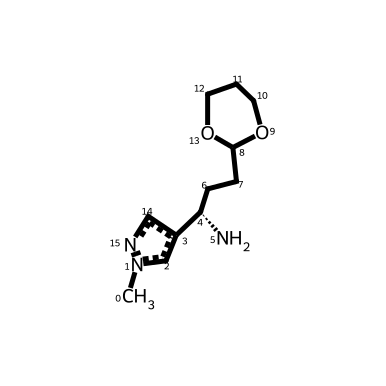 Cn1cc([C@@H](N)CCC2OCCCO2)cn1